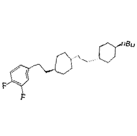 CCCC[C@H]1CC[C@H](CC[C@H]2CC[C@H](CCc3ccc(F)c(F)c3)CC2)CC1